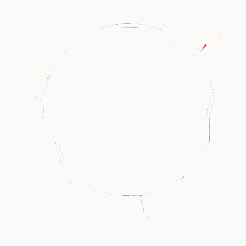 CC1CCC/C=C/CCC(=O)CCC/C=C\C=C\[C@@H](O)C/C=C/C=C\C(=O)O1